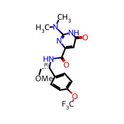 COC[C@H](NC(=O)c1cc(=O)[nH]c(N(C)C)n1)c1ccc(OC(F)(F)F)cc1